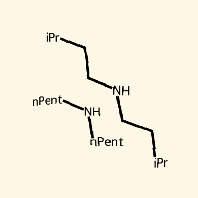 CC(C)CCNCCC(C)C.CCCCCNCCCCC